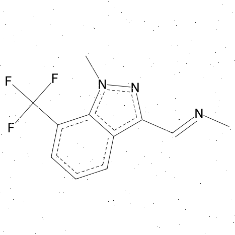 C/N=C/c1nn(C)c2c(C(F)(F)F)cccc12